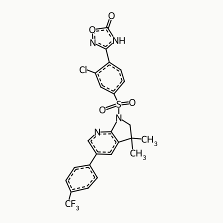 CC1(C)CN(S(=O)(=O)c2ccc(-c3noc(=O)[nH]3)c(Cl)c2)c2ncc(-c3ccc(C(F)(F)F)cc3)cc21